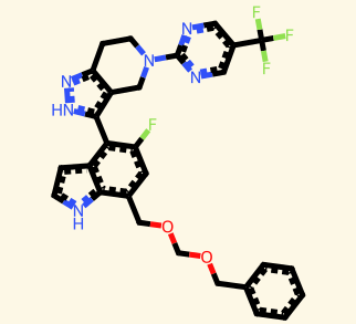 Fc1cc(COCOCc2ccccc2)c2[nH]ccc2c1-c1[nH]nc2c1CN(c1ncc(C(F)(F)F)cn1)CC2